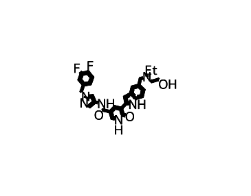 CCN(CCO)Cc1ccc2[nH]c(-c3cc(C(=O)Nc4cnn(Cc5ccc(F)c(F)c5)c4)c[nH]c3=O)cc2c1